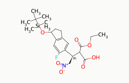 CCOC(=O)C(C(=O)O)[C@@H](C[N+](=O)[O-])c1cc2c(cc1F)C(O[Si](C)(C)C(C)(C)C)CC2